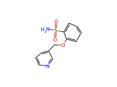 NS(=O)(=O)c1ccccc1OCc1cccnc1